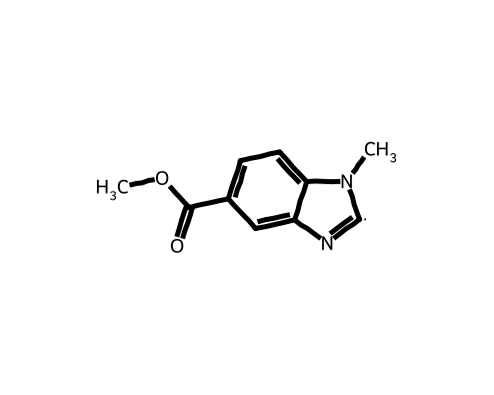 COC(=O)c1ccc2c(c1)n[c]n2C